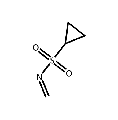 C=NS(=O)(=O)C1CC1